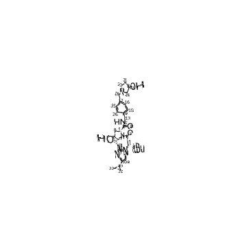 CC(C)(C)[C@@H](C(=O)N1C[C@H](O)C[C@H]1C(=O)NCc1ccc(CN2CCC(O)C2)cc1)n1cc(C2CC2)nn1